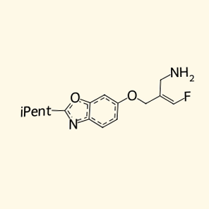 CCCC(C)c1nc2ccc(OC/C(=C/F)CN)cc2o1